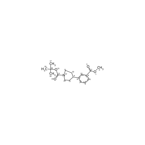 COC(=O)c1cccc(C2CCN(C(=O)OC(C)(C)C)CC2)c1